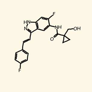 O=C(Nc1cc2c(/C=C/c3ccc(F)cc3)n[nH]c2cc1F)C1(CO)CC1